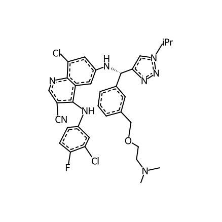 CC(C)n1cc([C@@H](Nc2cc(Cl)c3ncc(C#N)c(Nc4ccc(F)c(Cl)c4)c3c2)c2cccc(COCCN(C)C)c2)nn1